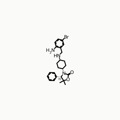 CC1(C)OC(=O)N([C@H]2CC[C@H](NCc3cc(Br)ccc3N)CC2)[C@H]1c1ccccc1